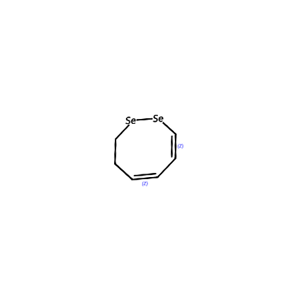 C1=C\CC[Se][Se]\C=C/1